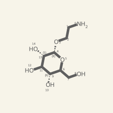 NCCO[C@@H]1OC(CO)[C@H](O)C(O)[C@@H]1O